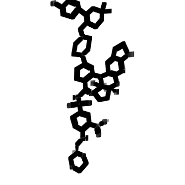 CC1(C)CCC(CN2CCN(c3ccc(C(=O)NS(=O)(=O)c4ccc(NC[C@H]5COCCO5)c([N+](=O)[O-])c4)c(N4c5cc6cc[nH]c6nc5O[C@H]5CCC[C@@H]54)c3)CC2)=C(c2ccc(Cl)cc2)C1